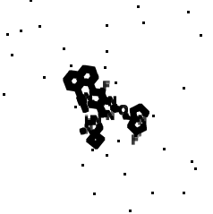 CC#Cc1cccc2cccc(-c3ncc4c(NCC5(N(C)C)CCC5)nc(OC[C@@]56CCCN5C[C@H](F)C6)nc4c3F)c12